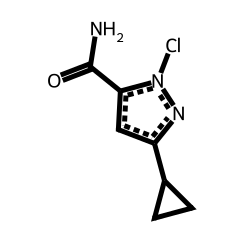 NC(=O)c1cc(C2CC2)nn1Cl